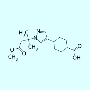 COC(=O)CC(C)(C)n1cc(C2CCC(C(=O)O)CC2)cn1